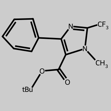 Cn1c(C(F)(F)F)nc(-c2ccccc2)c1C(=O)OC(C)(C)C